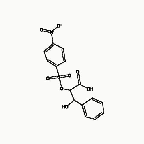 O=C(O)C(OS(=O)(=O)c1ccc([N+](=O)[O-])cc1)C(O)c1ccccc1